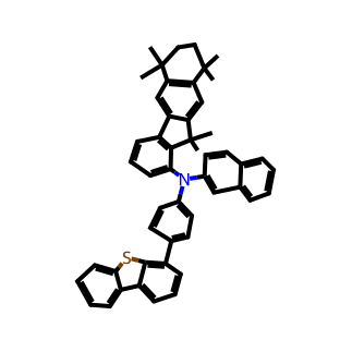 CC1(C)CCC(C)(C)c2cc3c(cc21)-c1cccc(N(c2ccc(-c4cccc5c4sc4ccccc45)cc2)c2ccc4ccccc4c2)c1C3(C)C